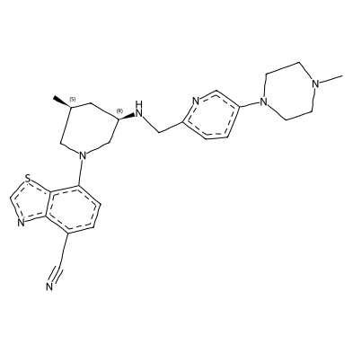 C[C@H]1C[C@@H](NCc2ccc(N3CCN(C)CC3)cn2)CN(c2ccc(C#N)c3ncsc23)C1